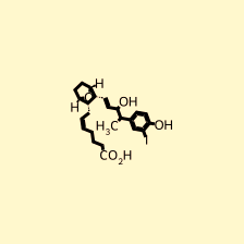 CC(c1ccc(O)c(I)c1)C(O)/C=C/[C@@H]1[C@H](C/C=C\CCCC(=O)O)[C@@H]2CC[C@H]1O2